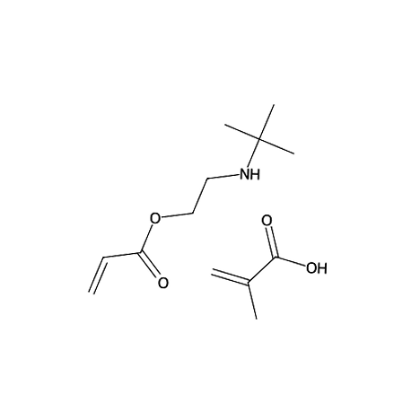 C=C(C)C(=O)O.C=CC(=O)OCCNC(C)(C)C